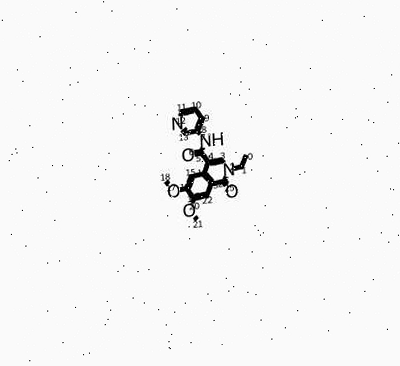 CCn1cc(C(=O)Nc2cccnc2)c2cc(OC)c(OC)cc2c1=O